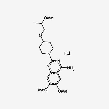 COc1cc2nc(N3CCC(OCC(C)OC)CC3)nc(N)c2cc1OC.Cl